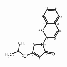 CC(C)OC1=CC(=O)N(C2C=Cc3ccccc3O2)C1